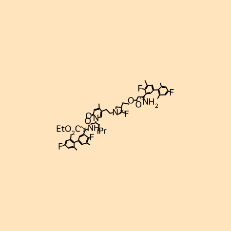 CCOC(=O)C[C@H](NC(=O)C(CC(C)C)n1cc(CCN2CC(CCOC(=O)C[C@H](N)c3cc(-c4c(C)cc(F)cc4C)cc(C)c3F)[C@@H](F)C2)c(C)cc1=O)c1cc(-c2c(C)cc(F)cc2C)cc(C)c1F